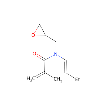 C=C(C)C(=O)N(C=CCC)CC1CO1